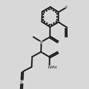 C=C=CCCC(C(=C)NC)N(C)C(=C)c1cccc(F)c1C=C